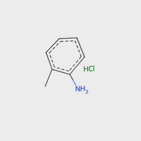 Cc1ccccc1N.Cl